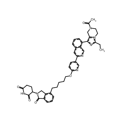 CCc1nc(-c2cccc3cc(-c4ccc(OCCCCCc5cccc6c5CN(C5CCC(=O)NC5=O)C6=O)nc4)ncc23)c2n1CCN(C(C)=O)C2